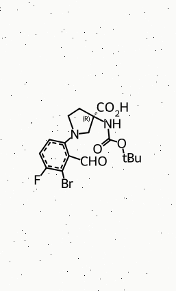 CC(C)(C)OC(=O)N[C@]1(C(=O)O)CCN(c2ccc(F)c(Br)c2C=O)C1